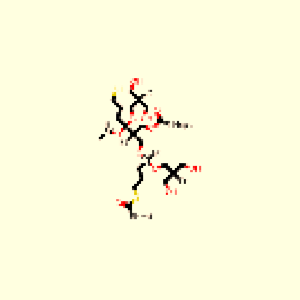 CCCCCCCC(=O)OCC(CC)(CO[Si](CC)(CCCSC(=O)CCCCCCC)OCC(CC)(CO)CO)C(CCCS)(OCC(CC)(CO)CO)O[SiH2]C